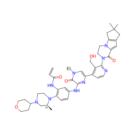 C=CC(=O)Nc1cc(Nc2nc(-c3ccnc(N4CCn5c(cc6c5CC(C)(C)C6)C4=O)c3CO)cn(CC)c2=O)ccc1N1CCN(C2CCOCC2)C[C@@H]1C